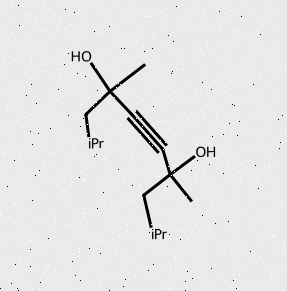 CC(C)CC(C)(O)C#CC(C)(O)CC(C)C